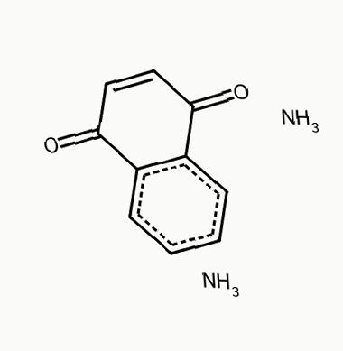 N.N.O=C1C=CC(=O)c2ccccc21